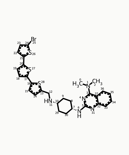 CN(C)c1nc(N[C@H]2CC[C@@H](NCc3ccc(-c4ccc(-c5ccc(Br)s5)s4)s3)CC2)nc2ccccc12